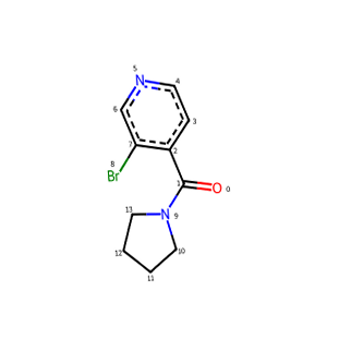 O=C(c1ccncc1Br)N1CCCC1